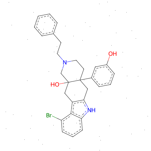 Oc1cccc(C23CCN(CCc4ccccc4)CC2(O)Cc2c([nH]c4cccc(Br)c24)C3)c1